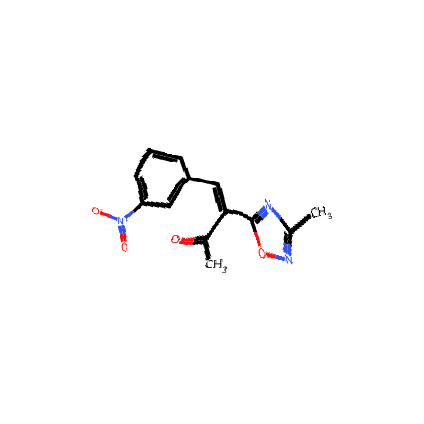 CC(=O)C(=Cc1cccc([N+](=O)[O-])c1)c1nc(C)no1